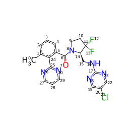 Cc1cccc(C(=O)N2CCC(F)(F)[C@H]2CNc2ncc(Cl)cn2)c1-c1ncccn1